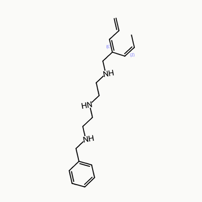 C=C/C=C(\C=C/C)CNCCNCCNCc1ccccc1